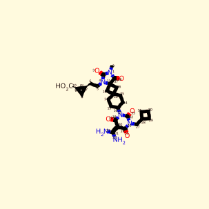 CN1C(=O)N(CC[C@H]2C[C@@H]2C(=O)O)C2(CC3(CCC(N4C(=O)C(=C(N)N)C(=O)N(CC5CCC5)C4=O)CC3)C2)C1=O